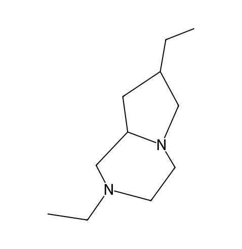 CCC1CC2CN(CC)CCN2C1